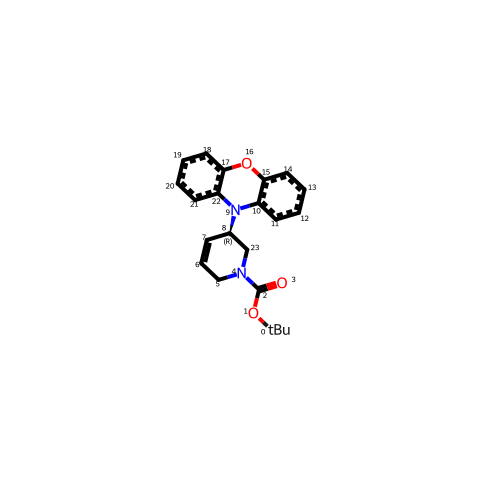 CC(C)(C)OC(=O)N1CC=C[C@@H](N2c3ccccc3Oc3ccccc32)C1